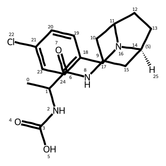 CC(NC(=O)O)C(=O)NC1CC2CC[C@@H](C1)N2Cc1ccc(Cl)cc1